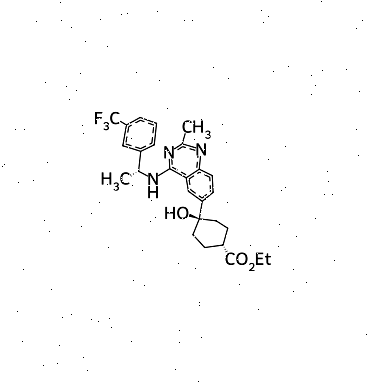 CCOC(=O)[C@H]1CC[C@@](O)(c2ccc3nc(C)nc(N[C@H](C)c4cccc(C(F)(F)F)c4)c3c2)CC1